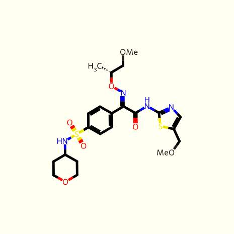 COCc1cnc(NC(=O)/C(=N/O[C@H](C)COC)c2ccc(S(=O)(=O)NC3CCOCC3)cc2)s1